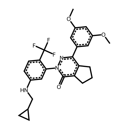 COc1cc(OC)cc(-c2nn(-c3cc(NCC4CC4)ccc3C(F)(F)F)c(=O)c3c2CCC3)c1